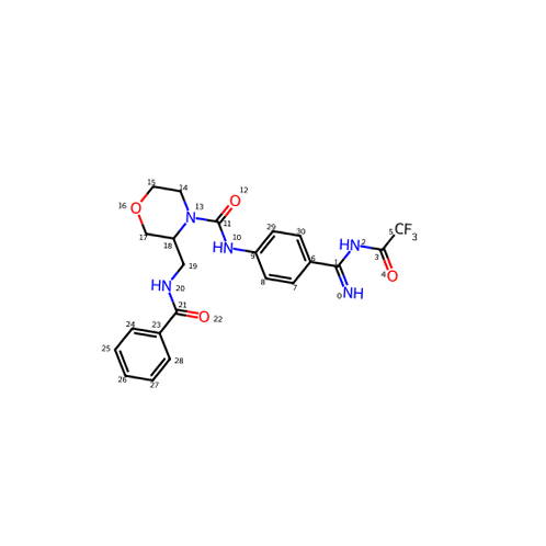 N=C(NC(=O)C(F)(F)F)c1ccc(NC(=O)N2CCOCC2CNC(=O)c2ccccc2)cc1